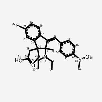 CCN(CC)C1(C)C(=Cc2ccc([S+](C)[O-])cc2)c2ccc(F)cc2C1(CC)CC(=O)O